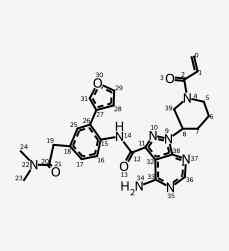 C=CC(=O)N1CCCC(n2nc(C(=O)Nc3ccc(CC(=O)N(C)C)cc3-c3ccoc3)c3c(N)ncnc32)C1